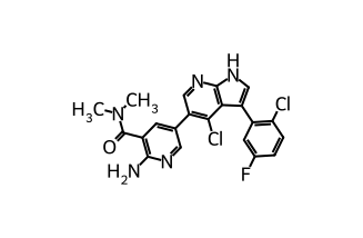 CN(C)C(=O)c1cc(-c2cnc3[nH]cc(-c4cc(F)ccc4Cl)c3c2Cl)cnc1N